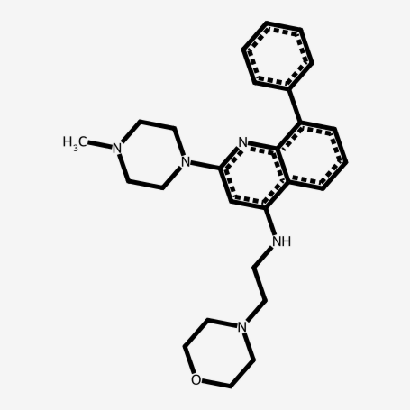 CN1CCN(c2cc(NCCN3CCOCC3)c3cccc(-c4ccccc4)c3n2)CC1